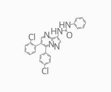 O=C(Nc1ccccc1)Nc1cnn2c(-c3ccc(Cl)cc3)c(-c3ccccc3Cl)cnc12